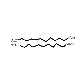 CCCCCCCCCCCCCCCCCCCC(=O)O.CCCCCCCCCCCCCCCCCCCCC(=O)O